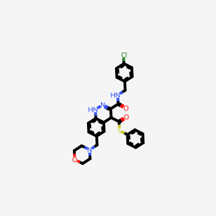 O=C(NCc1ccc(Cl)cc1)C1=NNc2ccc(CN3CCOCC3)cc2C1C(=O)Sc1ccccc1